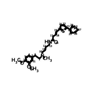 COc1ccc(CCN(C)CCCCNC(=O)C/C=C/c2ccc(-c3cccnc3)s2)cc1OC